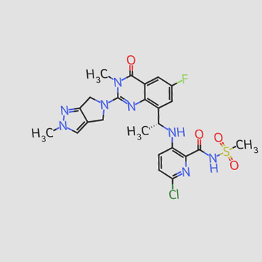 C[C@@H](Nc1ccc(Cl)nc1C(=O)NS(C)(=O)=O)c1cc(F)cc2c(=O)n(C)c(N3Cc4cn(C)nc4C3)nc12